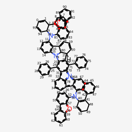 C1=CC(c2ccccc2)C(N(c2cccc3c2C2=CC=C[C@@H]4c5c(c(-c6ccccc6)c6c7cccc8c9c(N(C%10=C(c%11ccccc%11)CCC=C%10)c%10cccc%11c%10oc%10ccccc%10%11)cccc9n(c6c5-c5ccccc5)c87)N3C24)c2cccc3c2oc2ccccc23)C=C1